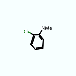 [C]Nc1ccccc1Cl